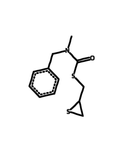 CN(Cc1ccccc1)C(=O)SCC1CS1